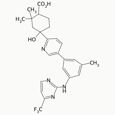 Cc1cc(Nc2nccc(C(F)(F)F)n2)cc(-c2ccc(C3(O)CCC(C(=O)O)C(C)(C)C3)nc2)c1